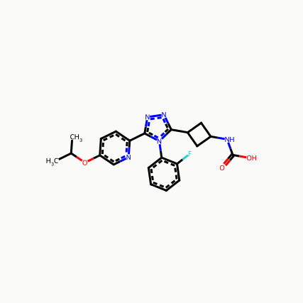 CC(C)Oc1ccc(-c2nnc(C3CC(NC(=O)O)C3)n2-c2ccccc2F)nc1